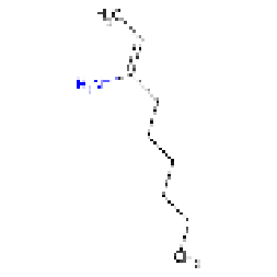 CC=C(N)CCCCCC